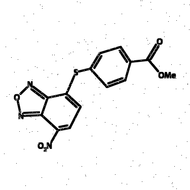 COC(=O)c1ccc(Sc2ccc([N+](=O)[O-])c3nonc23)cc1